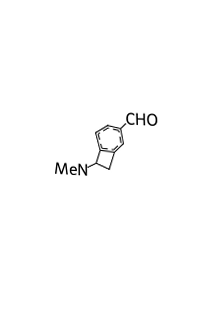 CNC1Cc2cc(C=O)ccc21